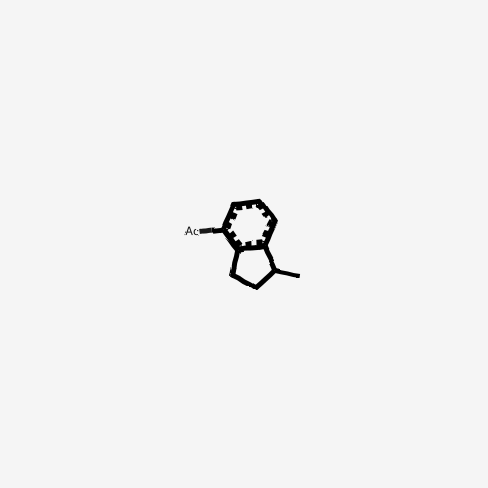 CC(=O)c1cccc2c1CCC2C